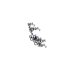 NCCSc1nc(N)cc(S/C=C/C2=C(C(=O)O)N3C(=O)[C@@H](NC(=O)C(=NO)c4nc(N)sc4Cl)[C@H]3SC2)n1